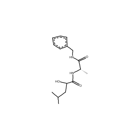 CC(C)CC(O)C(=O)N[C@@H](C)C(=O)N[CH]c1ccccc1